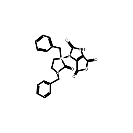 O=C1OC(=O)c2c1[nH]c(=O)n2[N+]1(Cc2ccccc2)CCN(Cc2ccccc2)C1=O